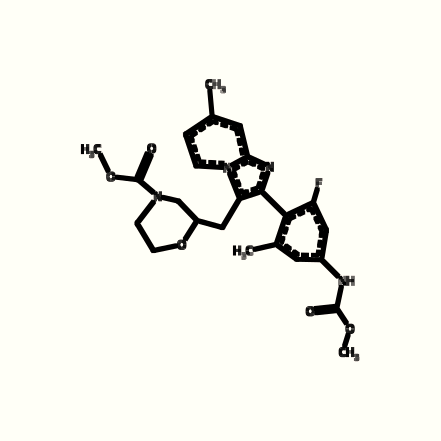 COC(=O)Nc1cc(C)c(-c2nc3cc(C)ccn3c2CC2CN(C(=O)OC)CCO2)c(F)c1